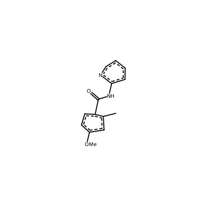 COc1ccc(C(=O)Nc2ccccn2)c(C)c1